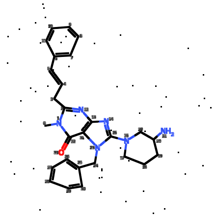 Cn1c(CC=Cc2ccccc2)nc2nc(N3CCCC(N)C3)n(Cc3ccccc3)c2c1=O